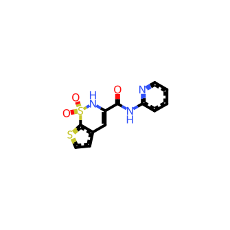 O=C(Nc1ccccn1)C1=Cc2ccsc2S(=O)(=O)N1